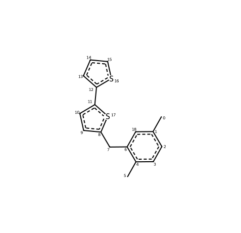 Cc1ccc(C)c(Cc2ccc(-c3cccs3)s2)c1